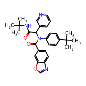 CC(C)(C)NC(=O)C(c1cccnc1)N(C(=O)c1ccc2ncoc2c1)c1ccc(C(C)(C)C)cc1